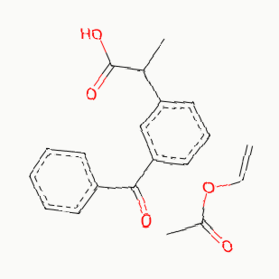 C=COC(C)=O.CC(C(=O)O)c1cccc(C(=O)c2ccccc2)c1